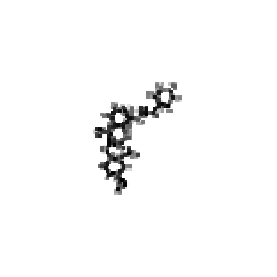 COc1ccc(Cn2cnc3c(CNCc4ccccc4)nccc3c2=O)c(OC)c1